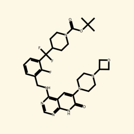 CC(C)(C)OC(=O)N1CCC(C(F)(F)c2cccc(CNc3ncnc4[nH]c(=O)c(N5CCN(C6COC6)CC5)cc34)c2F)CC1